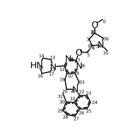 CO[C@@H]1C[C@H](COc2nc3c(c(N4CCNCC4)n2)CCN(c2cccc4cccc(C)c24)C3)N(C)C1